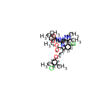 CCOC(=O)c1c(CCCOc2cc(C)c(Cl)c(C)c2)c2ccc(Cl)c(-c3c(C)nn(C)c3C)c2n1[C@H](C)CNC(=O)OC(C)(C)C